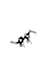 COc1ncc(-c2sc(NC(C)=O)nc2C)cc1[N+](=O)[O-]